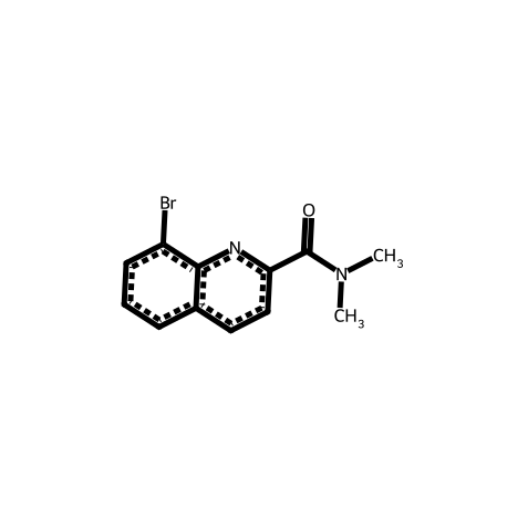 CN(C)C(=O)c1ccc2cccc(Br)c2n1